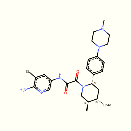 CCc1cc(NC(=O)C(=O)N2C[C@H](C)[C@@H](OC)C[C@H]2c2ccc(N3CCN(C)CC3)cc2)cnc1N